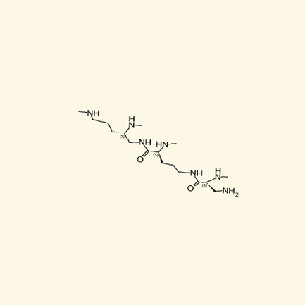 CNCCC[C@@H](CNC(=O)[C@H](CCCNC(=O)[C@H](CN)NC)NC)NC